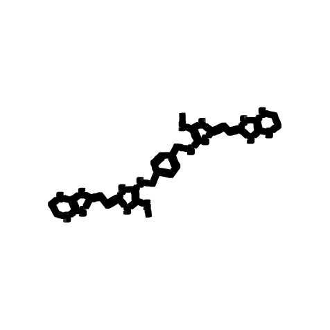 CSC1=C(SCc2ccc(CSC3=C(SC)SC(=CC=C4SC5=C(SCCS5)S4)S3)cc2)SC(=CC=C2SC3=C(SCCS3)S2)S1